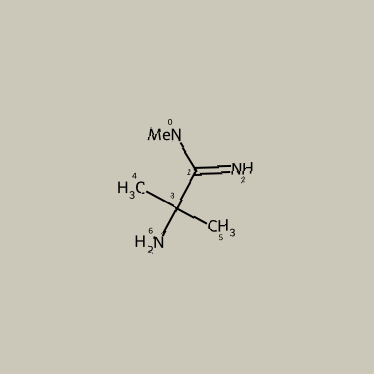 CNC(=N)C(C)(C)N